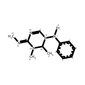 CCN(c1ccccc1)N1C=NC(=NC)N(C)C1C